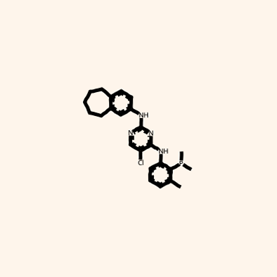 Cc1cccc(Nc2nc(Nc3ccc4c(c3)CCCCC4)ncc2Cl)c1P(C)C